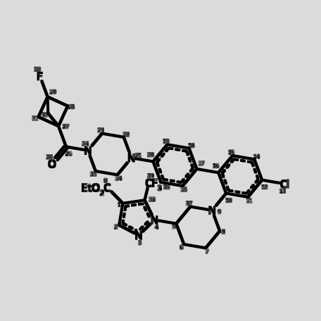 CCOC(=O)c1cnn(C2CCCN(c3cc(Cl)ccc3-c3ccc(N4CCN(C(=O)C56CC(F)(C5)C6)CC4)cc3)C2)c1C(F)(F)F